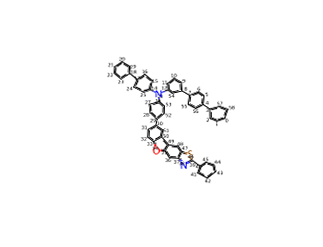 c1ccc(-c2ccc(-c3cccc(N(c4ccc(-c5ccccc5)cc4)c4ccc(-c5ccc6oc7cc8nc(-c9ccccc9)sc8cc7c6c5)cc4)c3)cc2)cc1